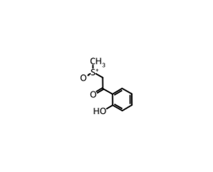 C[S+]([O-])CC(=O)c1ccccc1O